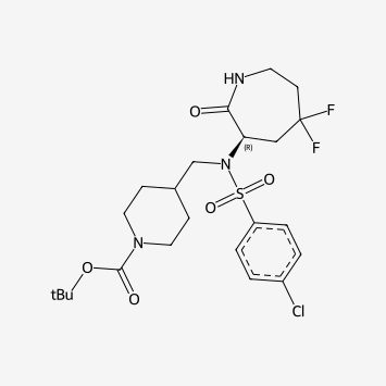 CC(C)(C)OC(=O)N1CCC(CN([C@@H]2CC(F)(F)CCNC2=O)S(=O)(=O)c2ccc(Cl)cc2)CC1